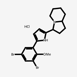 COc1c(Br)cc(Br)cc1-c1ccc(C2CCC3CCCCN32)[nH]1.Cl